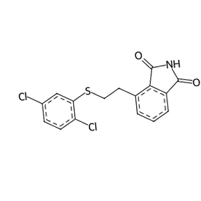 O=C1NC(=O)c2c(CCSc3cc(Cl)ccc3Cl)cccc21